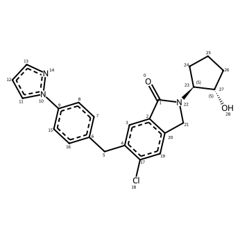 O=C1c2cc(Cc3ccc(-n4cccn4)cc3)c(Cl)cc2CN1[C@H]1CCC[C@@H]1O